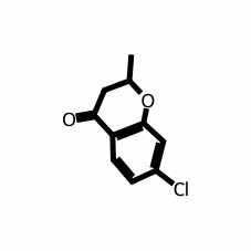 CC1CC(=O)c2ccc(Cl)cc2O1